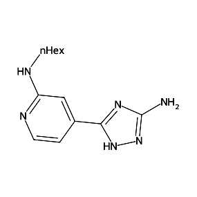 CCCCCCNc1cc(-c2nc(N)n[nH]2)ccn1